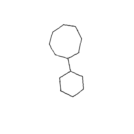 C1CCC[C](C2CCCCC2)CCC1